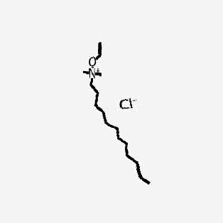 C=CO[N+](C)(C)CCCCCCCCCCCC.[Cl-]